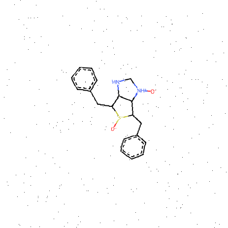 [O-][NH+]1CNC2C1C(Cc1ccccc1)[S+]([O-])C2Cc1ccccc1